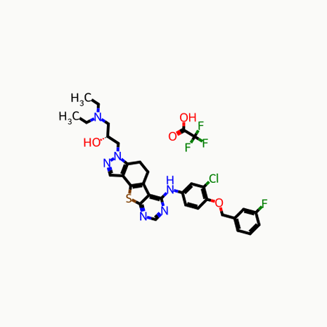 CCN(CC)C[C@@H](O)Cn1ncc2c1CCc1c-2sc2ncnc(Nc3ccc(OCc4cccc(F)c4)c(Cl)c3)c12.O=C(O)C(F)(F)F